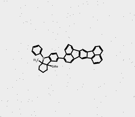 CSC12CCCCC1(C)N(c1ccccc1)c1ccc(-c3ccc4c5cc6c(cc5c5cccc3c54)c3cccc4cccc6c43)cc12